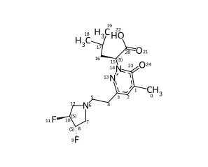 Cc1cc(CCN2C[C@H](F)[C@@H](F)C2)nn([C@@H](CC(C)C)C(=O)O)c1=O